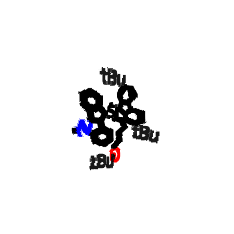 CN1c2ccccc2C2C1c1ccccc1C2[Si](C)(CCCCCCOC(C)(C)C)C1C2C=C(C(C)(C)C)C=CC2C2C=CC(C(C)(C)C)=CC21